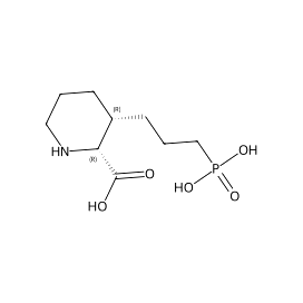 O=C(O)[C@@H]1NCCC[C@@H]1CCCP(=O)(O)O